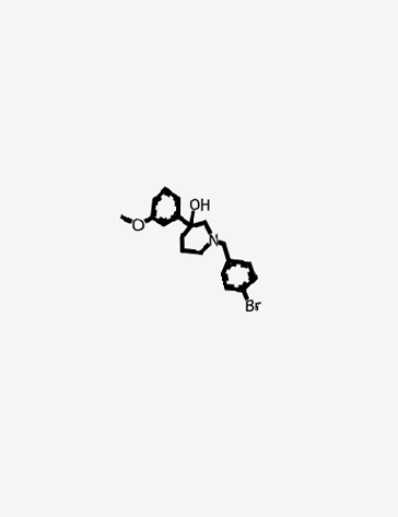 COc1cccc(C2(O)CCCN(Cc3ccc(Br)cc3)C2)c1